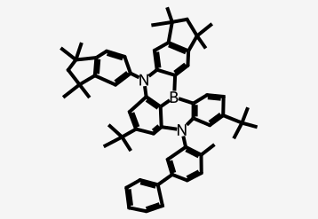 Cc1ccc(-c2ccccc2)cc1N1c2cc(C(C)(C)C)ccc2B2c3cc4c(cc3N(c3ccc5c(c3)C(C)(C)CC5(C)C)c3cc(C(C)(C)C)cc1c32)C(C)(C)CC4(C)C